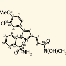 COc1ccc(-c2cc(C=CC(=O)N(C)O)nn2-c2ccccc2S(N)(=O)=O)cc1Cl